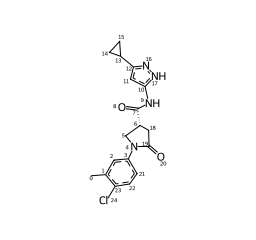 Cc1cc(N2C[C@H](C(=O)Nc3cc(C4CC4)n[nH]3)CC2=O)ccc1Cl